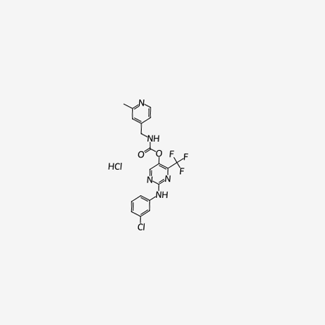 Cc1cc(CNC(=O)Oc2cnc(Nc3cccc(Cl)c3)nc2C(F)(F)F)ccn1.Cl